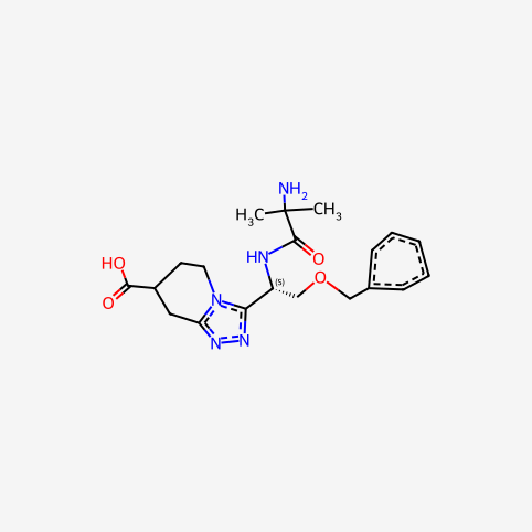 CC(C)(N)C(=O)N[C@H](COCc1ccccc1)c1nnc2n1CCC(C(=O)O)C2